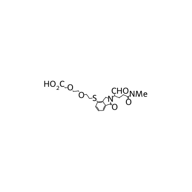 CNC(=O)CCC(C=O)N1Cc2c(SCCOCCOCC(=O)O)cccc2C1=O